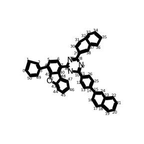 c1ccc(-c2ccc(-c3nc(-c4ccc(-c5ccc6ccccc6c5)cc4)nc(-c4ccc5ccccc5c4)n3)c3c2oc2ccccc23)cc1